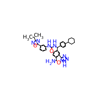 CC(C)c1noc(-c2cccc(NC(=O)NC(c3ccc(C4CCCCC4)cc3)c3ccc(C(N)=O)c(-c4nn[nH]n4)c3)c2)n1